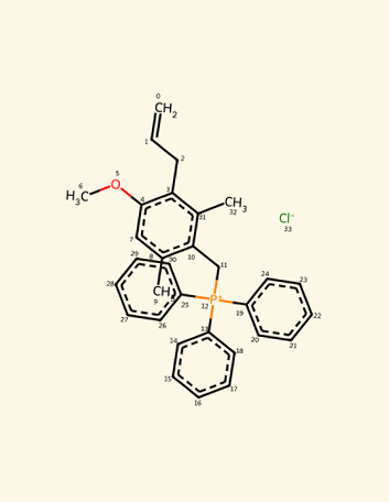 C=CCc1c(OC)cc(C)c(C[P+](c2ccccc2)(c2ccccc2)c2ccccc2)c1C.[Cl-]